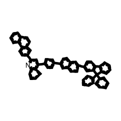 c1ccc(C2(c3ccccc3)c3ccccc3-c3ccc(-c4ccc5cc(-c6ccc(-c7cc(-c8ccc9c(ccc%10ccccc%109)c8)nc8ccccc78)cc6)ccc5c4)cc32)cc1